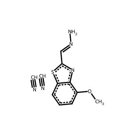 C#N.C#N.COc1cccc2sc(C=NN)nc12